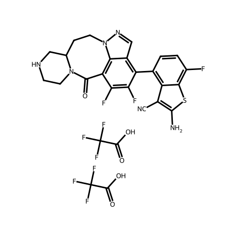 N#Cc1c(N)sc2c(F)ccc(-c3c(F)c(F)c4c5c3cnn5CCC3CNCCN3C4=O)c12.O=C(O)C(F)(F)F.O=C(O)C(F)(F)F